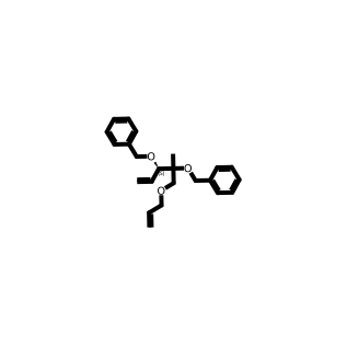 C=CCOCC(C)(OCc1ccccc1)[C@H](C=C)OCc1ccccc1